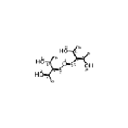 CC(O)C(SOSC(C(C)O)C(C)O)C(C)O